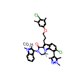 Cc1cc(OCCCc2c3n(c4c(-c5c(C)nn(C)c5C)c(Cl)ccc24)[C@H](C)CN(c2c(C(=O)O)n(C)c4ccccc24)C3=O)cc(C)c1Cl